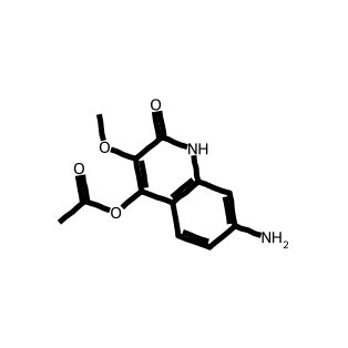 COc1c(OC(C)=O)c2ccc(N)cc2[nH]c1=O